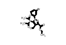 CCOC(=O)c1nn(-c2cccc(Br)c2)c(N(C(C)=O)C(C)=O)c1C=O